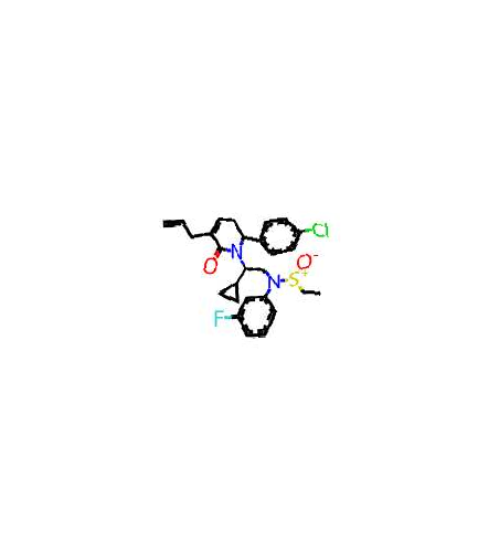 C=CCC1=CCC(c2ccc(Cl)cc2)N(C(CN(c2cccc(F)c2)[S+]([O-])CC)C2CC2)C1=O